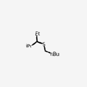 CCCCCSC(CC)C(C)C